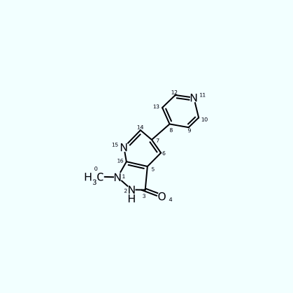 Cn1[nH]c(=O)c2cc(-c3ccncc3)cnc21